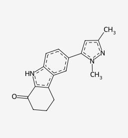 Cc1cc(-c2ccc3[nH]c4c(c3c2)CCCC4=O)n(C)n1